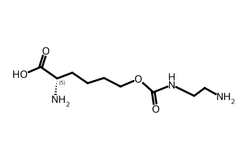 NCCNC(=O)OCCCC[C@H](N)C(=O)O